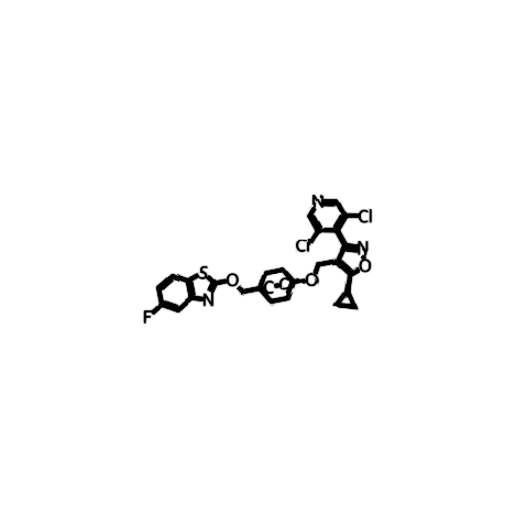 Fc1ccc2sc(OCC34CCC(OCc5c(-c6c(Cl)cncc6Cl)noc5C5CC5)(CC3)CC4)nc2c1